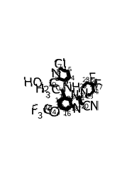 C[C@@H](Nc1ccc(Cl)nc1C(=O)O)c1cc(OC(F)(F)F)cc2nc(C#N)c(N3CCC(F)(F)CC3)nc12